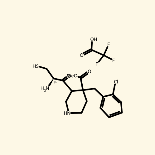 COC(=O)C1(Cc2ccccc2Cl)CCNCC1C(=O)[C@@H](N)CS.O=C(O)C(F)(F)F